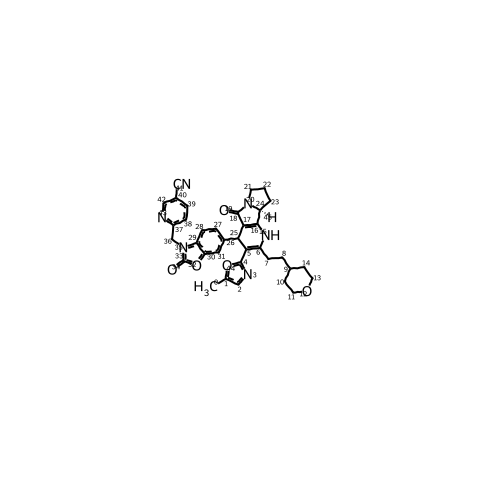 Cc1cnc(C2=C(CCC3CCOCC3)NC3=C(C(=O)N4CCC[C@@H]34)C2c2ccc3c(c2)oc(=O)n3Cc2ccc(C#N)cn2)o1